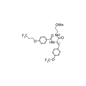 COCCNC(=O)/C(=C/c1ccc(OC(F)(F)F)cc1)NC(=O)c1ccc(OCCC(F)(F)F)cc1